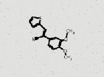 COc1ccc(C(C#N)=Cc2cccs2)cc1OC